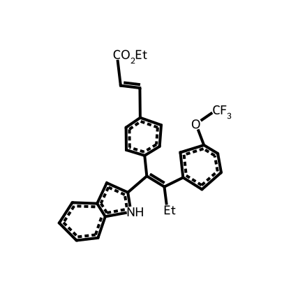 CCOC(=O)/C=C/c1ccc(/C(=C(/CC)c2cccc(OC(F)(F)F)c2)c2cc3ccccc3[nH]2)cc1